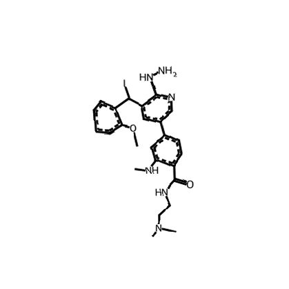 CNc1cc(-c2cnc(NN)c(C(I)c3ccccc3OC)c2)ccc1C(=O)NCCN(C)C